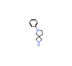 c1ccc(N2CCC3(CNC3)C2)cc1